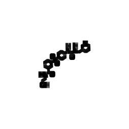 O=C(NCc1cccnc1)Nc1ccc(S(=O)(=O)c2cccc(C(=O)NCCO)c2)cc1